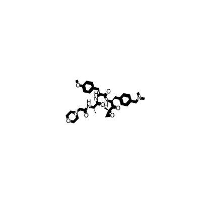 COc1ccc(C[C@H](NC(=O)[C@H](C)NC(=O)CN2CCOCC2)C(=O)N[C@@H](Cc2ccc(CN(C)C)cc2)C(=O)[C@@]2(C)CO2)cc1